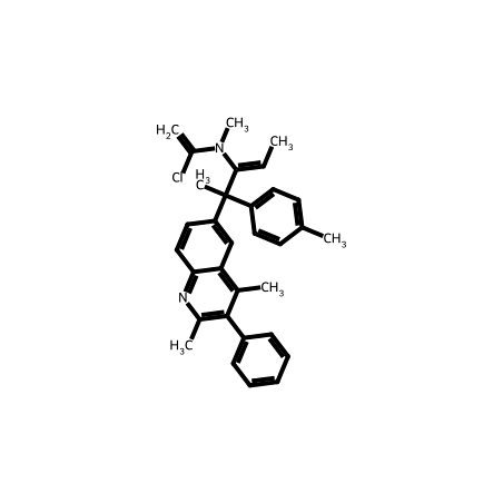 C=C(Cl)N(C)/C(=C\C)C(C)(c1ccc(C)cc1)c1ccc2nc(C)c(-c3ccccc3)c(C)c2c1